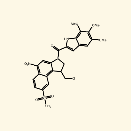 COc1cc2cc(C(=O)N3CC(CCl)c4c3cc([N+](=O)[O-])c3ccc(S(C)(=O)=O)cc43)[nH]c2c(OC)c1OC